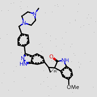 COc1ccc2c(c1)[C@]1(CC1c1ccc3c(-c4ccc(CN5CCN(C)CC5)cc4)n[nH]c3c1)C(=O)N2